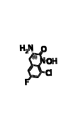 N[C@H]1Cc2cc(F)cc(Cl)c2N(O)C1=O